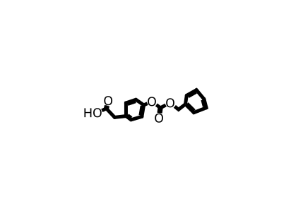 O=C(O)Cc1ccc(OC(=O)OCc2ccccc2)cc1